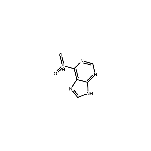 O=[SH](=O)c1ncnc2[nH]cnc12